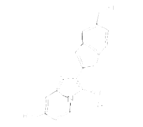 CCc1ccc2oc(-c3nc4cc(C)ccn4c3NC)cc2c1